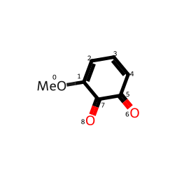 COC1=CC=[C]C(=O)C1=O